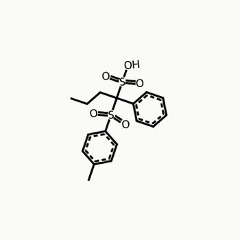 CCCC(c1ccccc1)(S(=O)(=O)O)S(=O)(=O)c1ccc(C)cc1